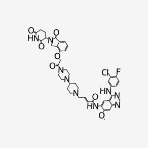 COc1cc2ncnc(Nc3ccc(F)c(Cl)c3)c2cc1NC(=O)/C=C/CN1CCC(N2CCN(C(=O)COc3cccc4c3CN(C3CCC(=O)NC3=O)C4=O)CC2)CC1